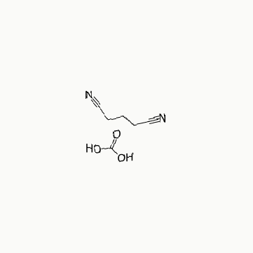 N#CCCCC#N.O=C(O)O